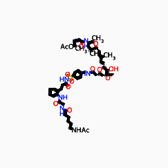 CC(=O)NCCCCCC(=O)NCC(=O)Nc1ccccc1CCC(=O)NS(=O)(=O)c1ccc(CNC(=O)C[C@@H]2C[C@@]3(CO3)[C@H](O)[C@@H](/C=C/C(C)=C/C[C@@H]3O[C@H](C)[C@H](NC(=O)/C=C\[C@H](C)OC(C)=O)C[C@@H]3C)O2)cc1